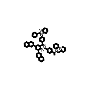 C=C(c1ccc(-c2nc(-c3ccc(-n4c(-c5ccccc5)nc5ccccc54)cc3)c3cc(-c4ccc5ccccc5c4)cc(-c4ccc5ccccc5c4)c3n2)cc1)N(Cc1ccccn1)c1ccccc1